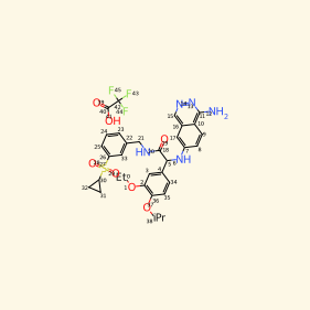 CCOc1cc(C(Nc2ccc3c(N)nncc3c2)C(=O)NCc2cccc(S(=O)(=O)C3CC3)c2)ccc1OC(C)C.O=C(O)C(F)(F)F